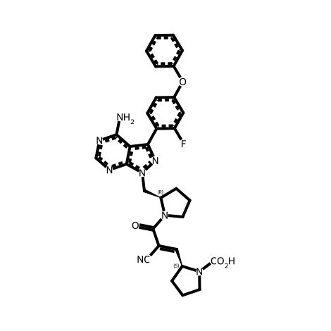 N#CC(=C[C@@H]1CCCN1C(=O)O)C(=O)N1CCC[C@@H]1Cn1nc(-c2ccc(Oc3ccccc3)cc2F)c2c(N)ncnc21